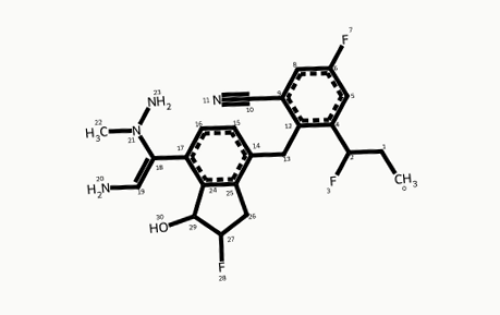 CCC(F)c1cc(F)cc(C#N)c1Cc1ccc(/C(=C/N)N(C)N)c2c1CC(F)C2O